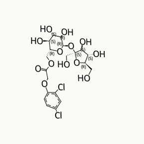 O=C(COc1ccc(Cl)cc1Cl)OC[C@H]1O[C@H](O[C@]2(CO)O[C@H](CO)[C@@H](O)[C@@H]2O)[C@H](O)[C@@H](O)[C@@H]1O